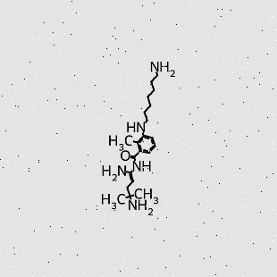 Cc1c(NCCCCCCCN)cccc1C(=O)N/C(N)=C/CC(C)(C)N